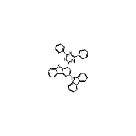 c1ccc(-c2nc(-c3ccccc3)nc(-c3cc(-n4c5ccccc5c5ccccc54)cc4c3sc3ccccc34)n2)cc1